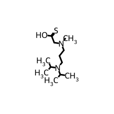 CC(C)N(CCCN(C)CC(O)=S)C(C)C